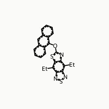 CCc1c2nsnc2c(CC)c2sc(Oc3c4ccccc4cc4ccccc34)nc12